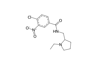 CCN1CCCC1CNC(=O)c1ccc(Cl)c([N+](=O)[O-])c1